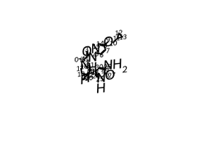 C[C@@H](C(=O)Nc1ccc(OCC2CC2)cn1)N1CCC(F)(F)[C@@H](c2c[nH]c(=O)c(N)c2)C1